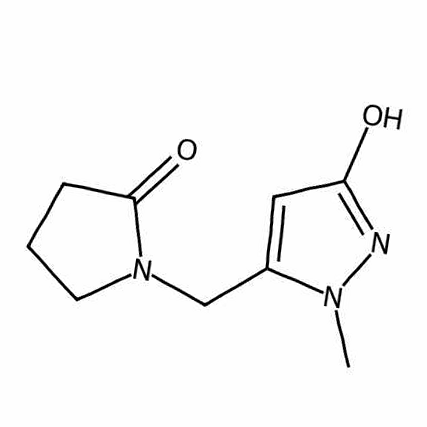 Cn1nc(O)cc1CN1CCCC1=O